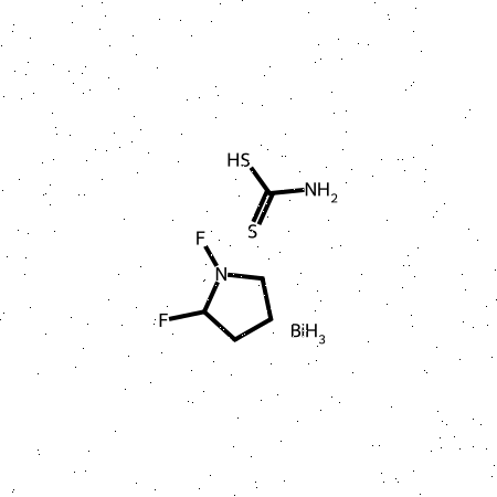 FC1CCCN1F.NC(=S)S.[BiH3]